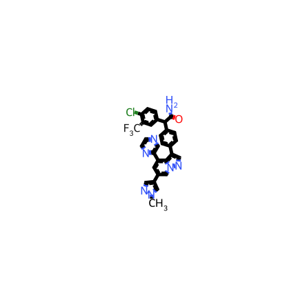 Cn1cc(-c2cc(-c3cnccn3)c3c(-c4ccc(C(C(N)=O)c5ccc(Cl)c(C(F)(F)F)c5)cc4)cnn3c2)cn1